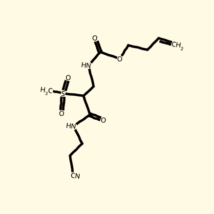 C=CCCOC(=O)NCC(C(=O)NCCC#N)S(C)(=O)=O